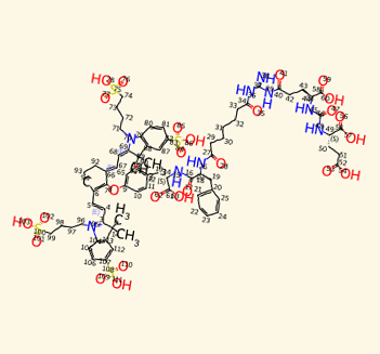 CC1(C)C(/C=C/C2=C(Oc3ccc(C[C@H](NC(=O)[C@H](Cc4ccccc4)NC(=O)CCCCCC(=O)NC(=N)NC(=O)CC[C@H](NC(=O)N[C@@H](CCC(=O)O)C(=O)O)C(=O)O)C(=O)O)cc3)C(=C/C=C3/N(CCCCS(=O)(=O)O)c4ccc(S(=O)(=O)O)cc4C3(C)C)/CCC2)=[N+](CCCCS(=O)(=O)O)c2ccc(S(=O)(=O)O)cc21